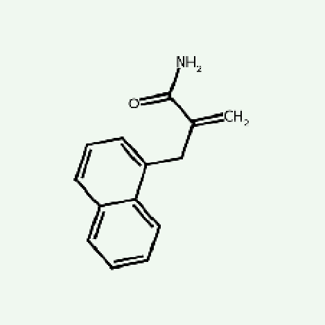 C=C(Cc1cccc2ccccc12)C(N)=O